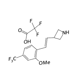 COc1cc(C(F)(F)F)ccc1C=CC1CNC1.O=C(O)C(F)(F)F